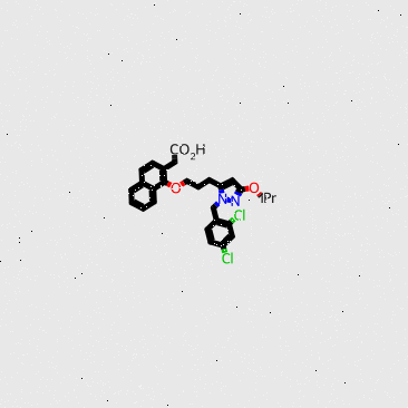 CC(C)Oc1cc(CCCOc2c(CC(=O)O)ccc3ccccc23)n(Cc2ccc(Cl)cc2Cl)n1